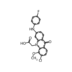 COc1c(Cl)ccc2c(=O)c3ccc(Nc4ccc(F)cc4)cc3n(CC(=O)O)c12